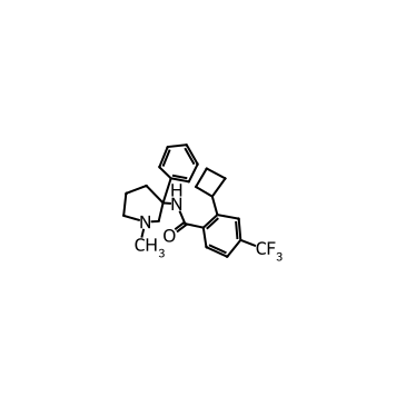 CN1CCCC(NC(=O)c2ccc(C(F)(F)F)cc2C2CCC2)(c2ccccc2)C1